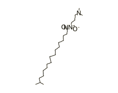 CC(C)CCCCCCCCCCCCCCC(=O)[NH+]([O-])CCCN(C)C